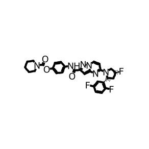 O=C(Nc1ccc(OC(=O)N2CCCCC2)cc1)c1cc2nc(N3C[C@@H](F)C[C@@H]3c3cc(F)ccc3F)ccn2n1